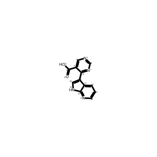 O=C(O)c1cncnc1-c1c[nH]c2ncccc12